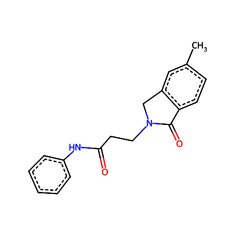 Cc1ccc2c(c1)CN(CCC(=O)Nc1ccccc1)C2=O